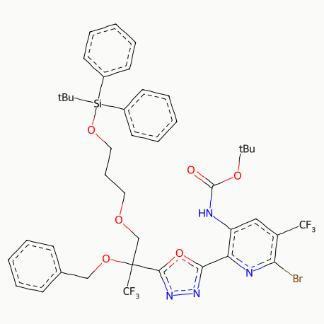 CC(C)(C)OC(=O)Nc1cc(C(F)(F)F)c(Br)nc1-c1nnc(C(COCCCO[Si](c2ccccc2)(c2ccccc2)C(C)(C)C)(OCc2ccccc2)C(F)(F)F)o1